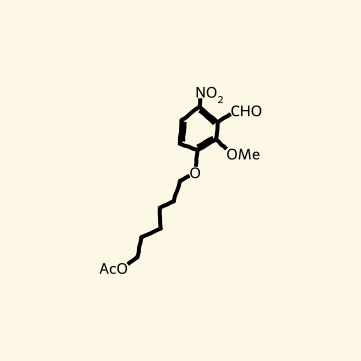 COc1c(OCCCCCCOC(C)=O)ccc([N+](=O)[O-])c1C=O